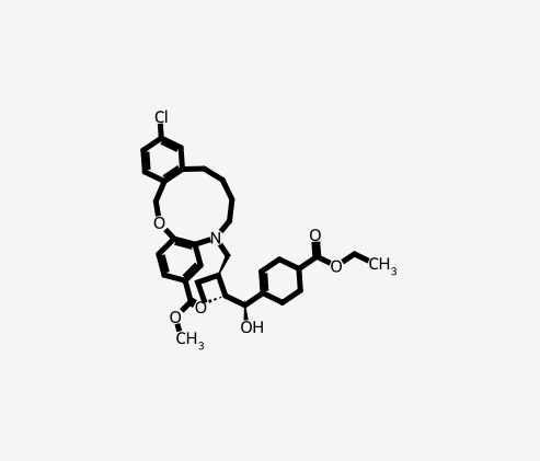 CCOC(=O)C1CC=C([C@@H](O)[C@@H]2CC[C@H]2CN2CCCCc3cc(Cl)ccc3COc3ccc(C(=O)OC)cc32)CC1